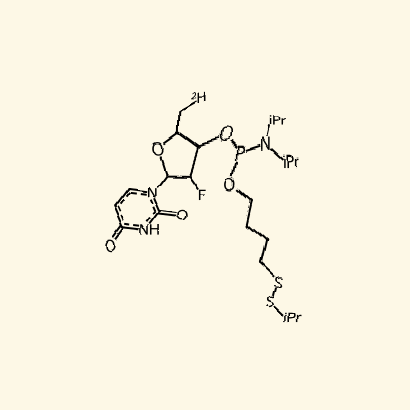 [2H]CC1OC(n2ccc(=O)[nH]c2=O)C(F)C1OP(OCCCCSSC(C)C)N(C(C)C)C(C)C